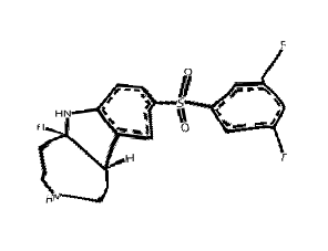 O=S(=O)(c1cc(F)cc(F)c1)c1ccc2c(c1)[C@@H]1CCNCC[C@@H]1N2